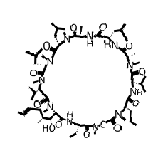 C/C=C/C[C@@H](C)[C@@H](O)[C@H]1C(=O)N[C@@H](CC)C(=O)N(C)CC(=O)N(C)[C@@H](CCC)C(=O)N[C@@H](C(C)C)C(=O)N(C)[C@@H](C)C(=O)N[C@@H](CC(C)C)C(=O)N[C@H](C)C(=O)N(C)[C@@H](CC(C)C)C(=O)N(C)[C@@H](CC(C)C)C(=O)N(C)[C@@H](C(C)C)C(=O)N1C